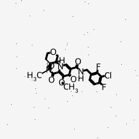 COc1c2n(cc(C(=O)NCc3ccc(F)c(Cl)c3F)c1=O)[C@H]1COCC[C@]13OC[C@@H](C)N3C2=O